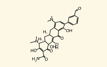 CN(C)c1cc(-c2cccc(C=O)c2)c(O)c2c1C[C@@H]1C[C@@H]3[C@@H](N(C)C)C(O)=C(C(N)=O)C(=O)[C@]3(O)C(O)=C1C2=O